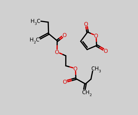 C=C(CC)C(=O)OCCOC(=O)C(=C)CC.O=C1C=CC(=O)O1